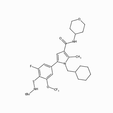 Cc1c(C(=O)NC2CCOCC2)cc(-c2cc(F)c(SNC(C)(C)C)c(OC(F)(F)F)c2)n1CC1CCCCC1